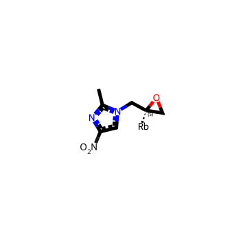 Cc1nc([N+](=O)[O-])cn1C[C@]1([Rb])CO1